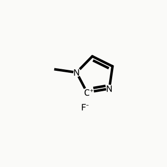 CN1[C+]=NC=C1.[F-]